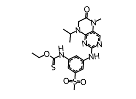 CCOC(=S)Nc1cc(Nc2ncc3c(n2)N(C(C)C)CC(=O)N3C)cc(S(C)(=O)=O)c1